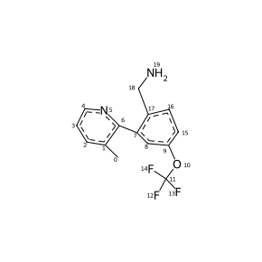 Cc1cccnc1-c1cc(OC(F)(F)F)ccc1CN